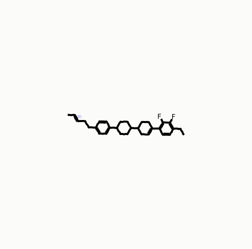 C/C=C/CCc1ccc(C2CCC(C3CC=C(c4ccc(CC)c(F)c4F)CC3)CC2)cc1